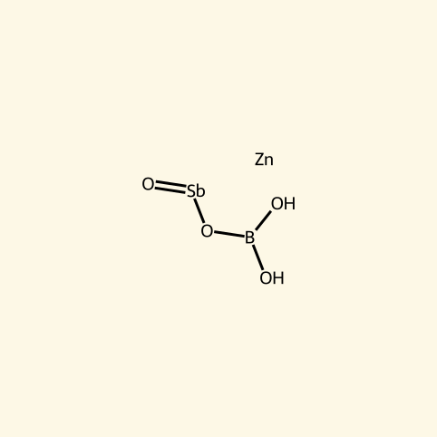 [O]=[Sb][O]B(O)O.[Zn]